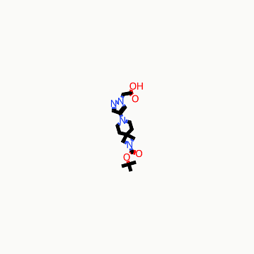 CC(C)(C)OC(=O)N1CC2(CCN(c3cnn(CC(=O)O)c3)CC2)C1